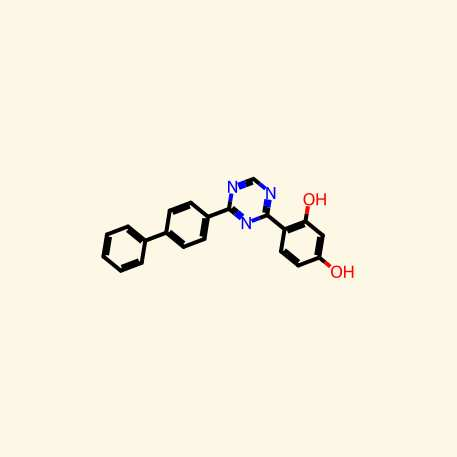 Oc1ccc(-c2ncnc(-c3ccc(-c4ccccc4)cc3)n2)c(O)c1